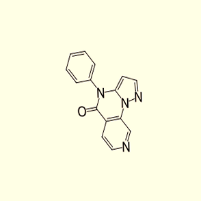 O=c1c2ccncc2n2nccc2n1-c1ccccc1